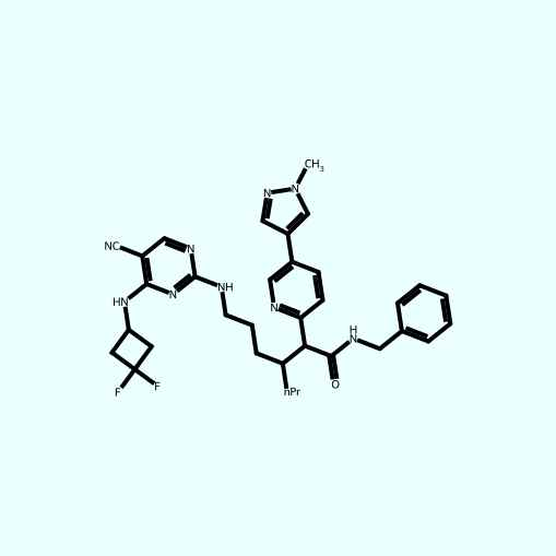 CCCC(CCCNc1ncc(C#N)c(NC2CC(F)(F)C2)n1)C(C(=O)NCc1ccccc1)c1ccc(-c2cnn(C)c2)cn1